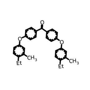 CCc1ccc(Oc2ccc(C(=O)c3ccc(Oc4ccc(CC)c(C)c4)cc3)cc2)cc1C